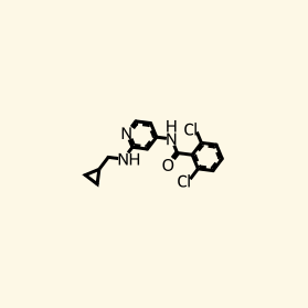 O=C(Nc1ccnc(NCC2CC2)c1)c1c(Cl)cccc1Cl